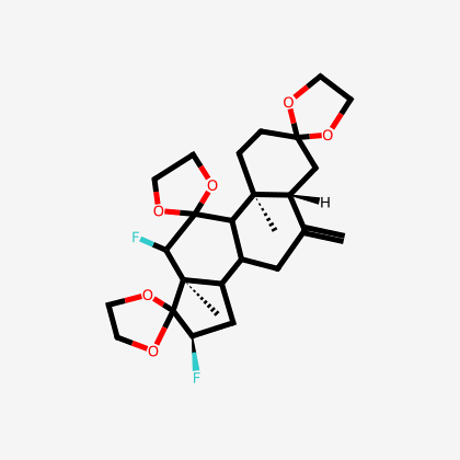 C=C1CC2C3C[C@@H](F)C4(OCCO4)[C@@]3(C)C(F)C3(OCCO3)C2[C@@]2(C)CCC3(C[C@H]12)OCCO3